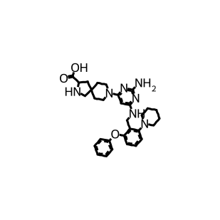 Nc1nc(NCc2c(Oc3ccccc3)cccc2N2CCCCC2)cc(N2CCC3(CC2)CNC(C(=O)O)C3)n1